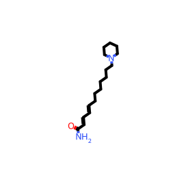 NC(=O)C=CC=CCCCCCCCN1CCCCC1